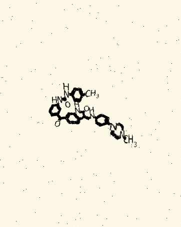 Cc1ccc(NC(=O)Nc2cccc(C(=O)c3ccc4c(c3)NC(=O)C4=CNc3ccc(N4CCN(C)CC4)cc3)c2)cc1